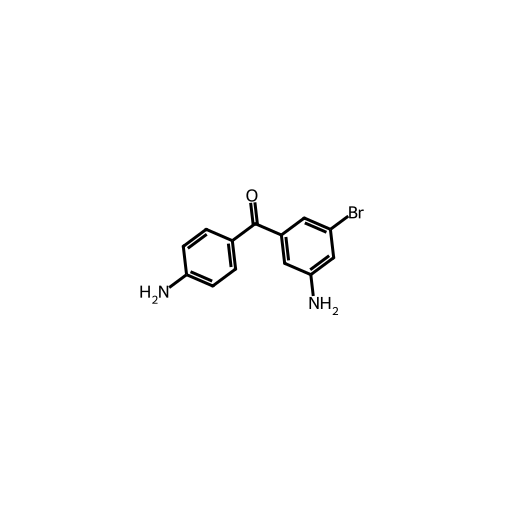 Nc1ccc(C(=O)c2cc(N)cc(Br)c2)cc1